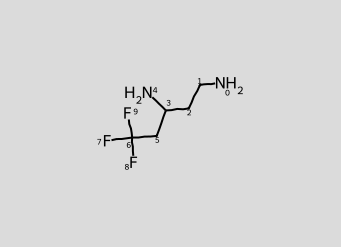 NCCC(N)CC(F)(F)F